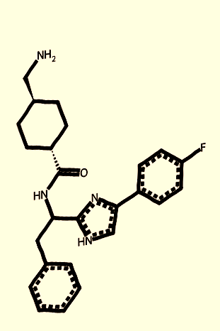 NC[C@H]1CC[C@H](C(=O)NC(Cc2ccccc2)c2nc(-c3ccc(F)cc3)c[nH]2)CC1